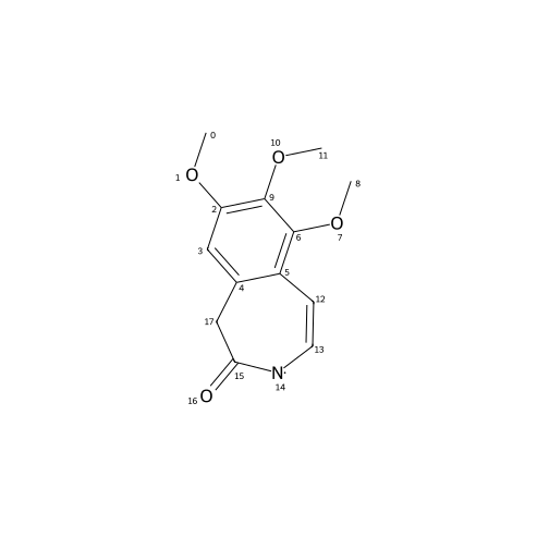 COc1cc2c(c(OC)c1OC)C=C[N]C(=O)C2